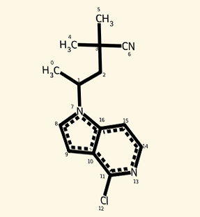 CC(CC(C)(C)C#N)n1ccc2c(Cl)nccc21